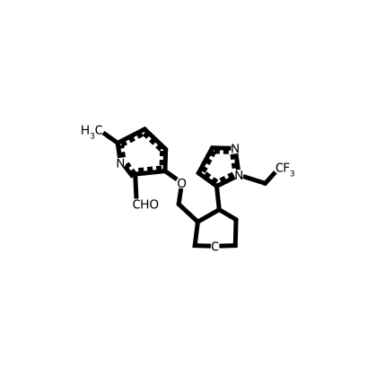 Cc1ccc(OCC2CCCCC2c2ccnn2CC(F)(F)F)c(C=O)n1